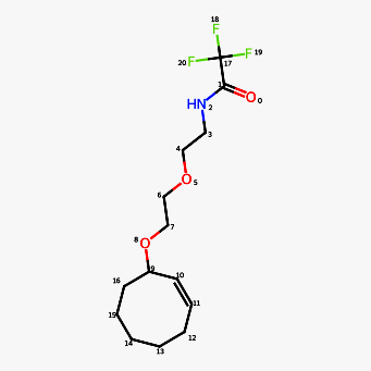 O=C(NCCOCCOC1/C=C\CCCCC1)C(F)(F)F